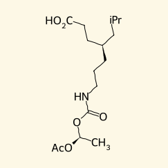 CC(=O)O[C@H](C)OC(=O)NCCC[C@@H](CCC(=O)O)CC(C)C